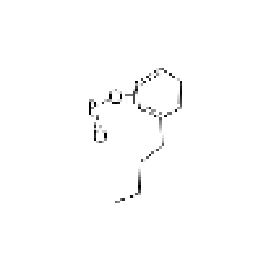 CCCCc1ccccc1.O=PO